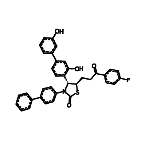 O=C(CC[C@H]1SC(=O)N(c2ccc(-c3ccccc3)cc2)[C@@H]1c1ccc(-c2cccc(O)c2)cc1O)c1ccc(F)cc1